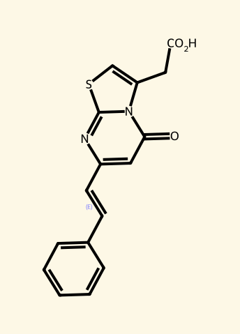 O=C(O)Cc1csc2nc(/C=C/c3ccccc3)cc(=O)n12